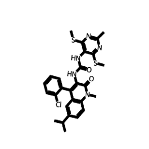 CSc1nc(C)nc(SC)c1NC(=O)Nc1c(-c2ccccc2Cl)c2cc(C(C)C)ccc2n(C)c1=O